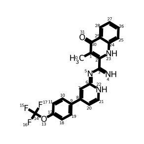 Cc1c(C(=N)/N=c2/cc(-c3ccc(OC(F)(F)F)cc3)cc[nH]2)[nH]c2ccccc2c1=O